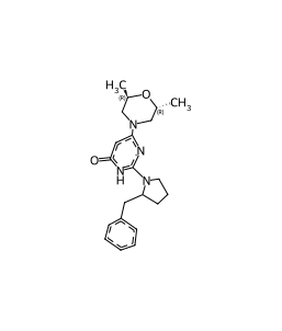 C[C@@H]1CN(c2cc(=O)[nH]c(N3CCCC3Cc3ccccc3)n2)C[C@@H](C)O1